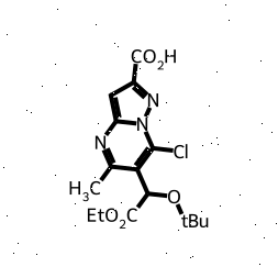 CCOC(=O)C(OC(C)(C)C)c1c(C)nc2cc(C(=O)O)nn2c1Cl